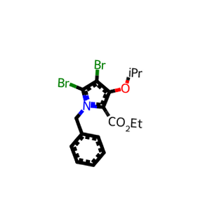 CCOC(=O)c1c(OC(C)C)c(Br)c(Br)n1Cc1ccccc1